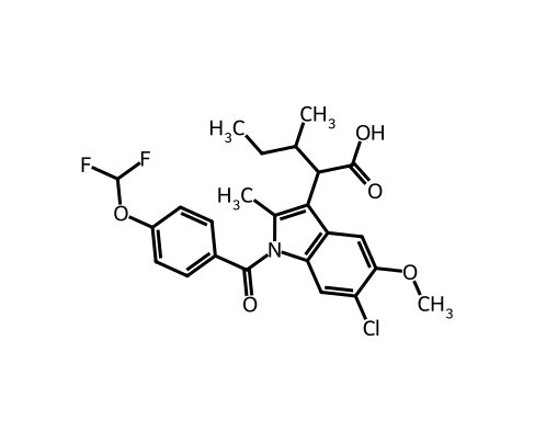 CCC(C)C(C(=O)O)c1c(C)n(C(=O)c2ccc(OC(F)F)cc2)c2cc(Cl)c(OC)cc12